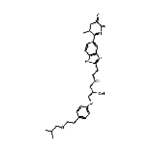 CC(C)COCCc1ccc(OCC(O)CNCCc2nc3cc(C4=NNC(=O)CC4C)ccc3[nH]2)cc1